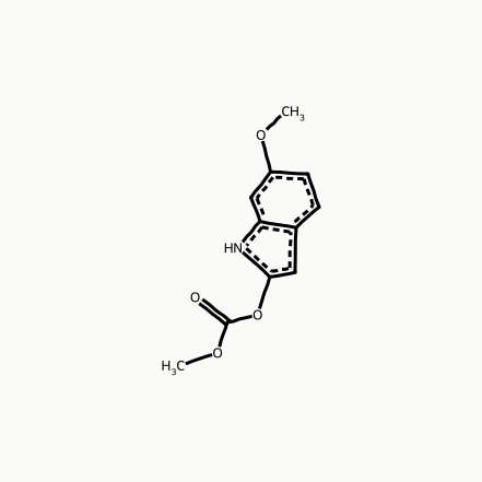 COC(=O)Oc1cc2ccc(OC)cc2[nH]1